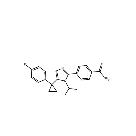 CC(C)n1c(-c2ccc(C(N)=O)cc2)nnc1C1(c2ccc(F)cc2)CC1